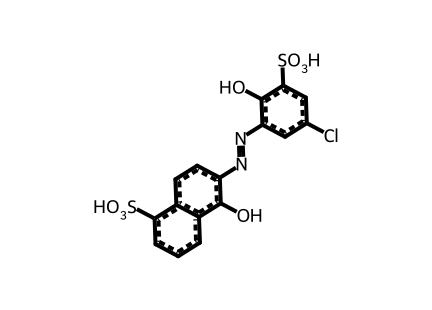 O=S(=O)(O)c1cc(Cl)cc(/N=N/c2ccc3c(S(=O)(=O)O)cccc3c2O)c1O